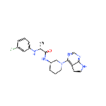 CCC[C@@H](Nc1cccc(Cl)c1)C(=O)N[C@@H]1CCCN(c2ncnc3[nH]ccc23)C1